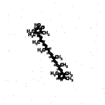 CC1=C(/C=C/C(C)=C/C=C/C(C)=C/C=C/C=C(C)/C=C/C=C(C)/C=C/c2c(C)ccc(C)c2C)C(C)(C)C=C(O)C1=O